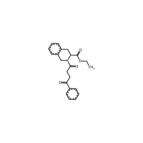 CCOC(=O)C1Cc2ccccc2CN1C(=O)CCC(=O)c1ccccc1